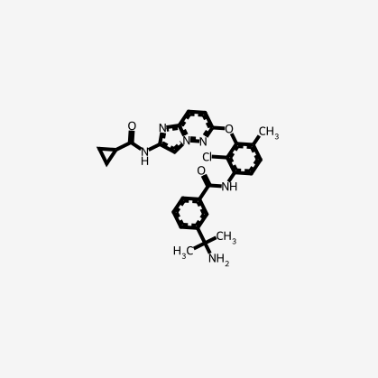 Cc1ccc(NC(=O)c2cccc(C(C)(C)N)c2)c(Cl)c1Oc1ccc2nc(NC(=O)C3CC3)cn2n1